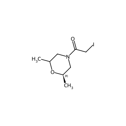 CC1CN(C(=O)CI)C[C@@H](C)O1